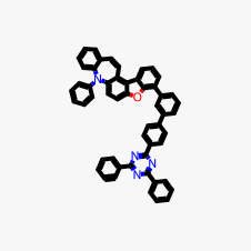 c1cccc(-c2nc(-c3ccccc3)nc(-c3ccc(-c4cccc(-c5cccc6c5oc5ccc7c(c56)C=Cc5ccccc5N7c5ccccc5)c4)cc3)n2)c#1